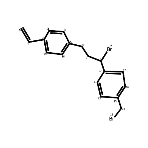 C=Cc1ccc(CCC(Br)c2ccc(CBr)cc2)cc1